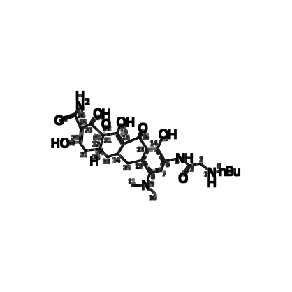 CCCCNCC(=O)Nc1cc(N(C)C)c2c(c1O)C(=O)C1=C(O)[C@]3(O)C(=O)C(C(N)=O)=C(O)C[C@@H]3CC1C2